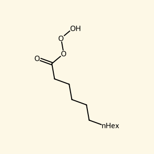 CCCCCCCCCCCC(=O)OOO